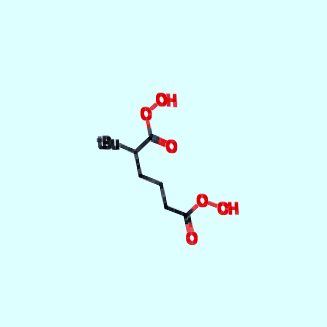 CC(C)(C)C(CCCC(=O)OO)C(=O)OO